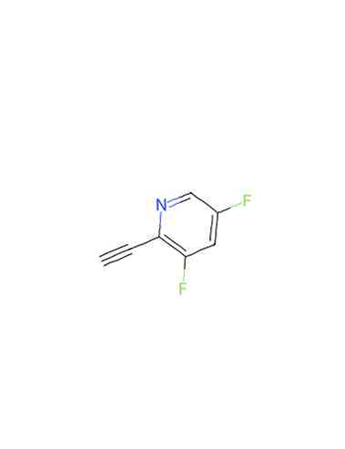 C#Cc1ncc(F)cc1F